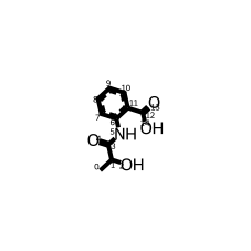 CC(O)C(=O)Nc1ccccc1C(=O)O